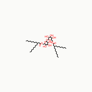 CCCCCCCCC(CCCCCCCC)CC(=O)OCC1O[C@H](O[C@H]2OC(COC(=O)CC(CCCCCCCC)CCCCCCCC)[C@@H](O)[C@H](O)C2O)C(O)[C@@H](O)[C@@H]1O